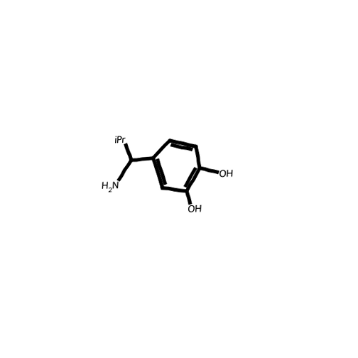 CC(C)C(N)c1ccc(O)c(O)c1